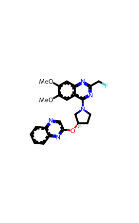 COc1cc2nc(CF)nc(N3CC[C@@H](Oc4cnc5ccccc5n4)C3)c2cc1OC